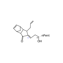 C=CCC1/C(=C\C[C@@H](O)CCCCC)C(=O)C2C3C=CC(C3)C12